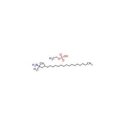 CCCCCCCCCCCCCCCCCCC(C)(C)N.CCOS(=O)(=O)O